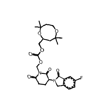 CC1(C)CC(COC(=O)OCN2C(=O)CCC(N3Cc4ccc(F)cc4C3=O)C2=O)OC(C)(C)CCO1